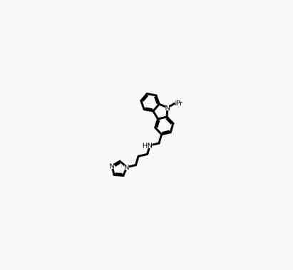 CC(C)n1c2ccccc2c2cc(CNCCCn3ccnc3)ccc21